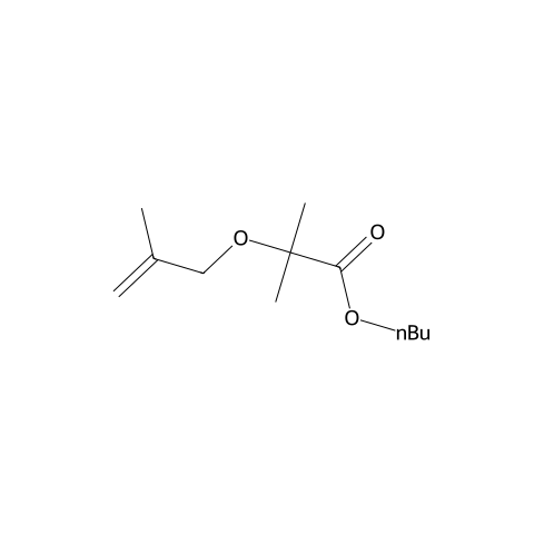 C=C(C)COC(C)(C)C(=O)OCCCC